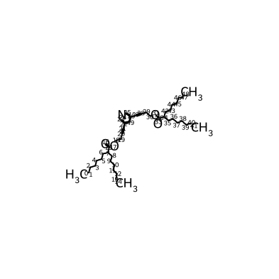 CCCCCCCC(CCCCCCC)C(=O)OCCC#Cc1cncc(C#CCCOC(=O)C(CCCCCCC)CCCCCCC)c1